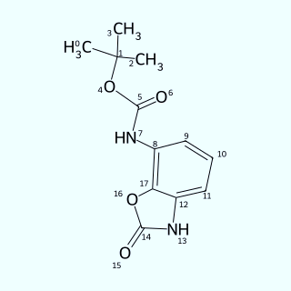 CC(C)(C)OC(=O)Nc1cccc2[nH]c(=O)oc12